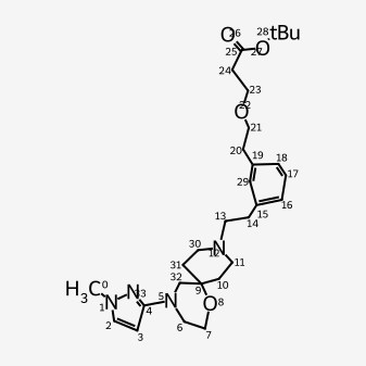 Cn1ccc(N2CCOC3(CCN(CCc4cccc(CCOCCC(=O)OC(C)(C)C)c4)CC3)C2)n1